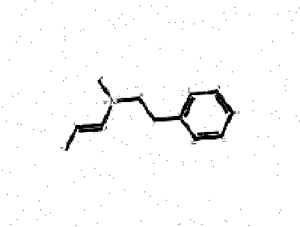 CC=CN(C)CCc1ccccc1